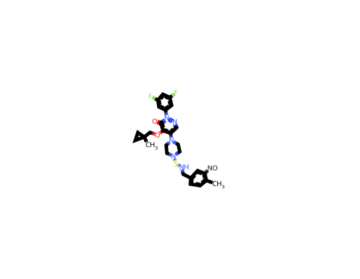 Cc1ccc(CNSN2CCN(c3cnn(-c4cc(F)cc(F)c4)c(=O)c3OCC3(C)CC3)CC2)cc1N=O